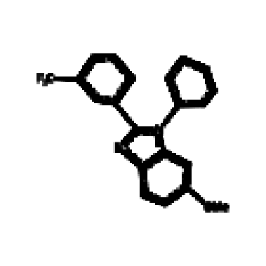 COc1ccc2nc(-c3cccc(C(F)(F)F)c3)n(-c3ccccc3)c2c1